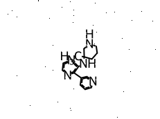 CC1(Nc2nccnc2-c2cccnc2)CCCNC1